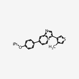 Cc1cscc1-c1cnc2cc(-c3ccc(OC(C)C)cc3)ccn12